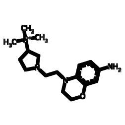 C[N+](C)(C)C1CCN(CCN2CCOc3cc(N)ccc32)C1